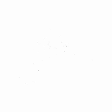 CC(C)C[C@H](NC(=O)OCc1ccccc1)C(=O)NC(C)(C)C(=O)CSCc1ccco1